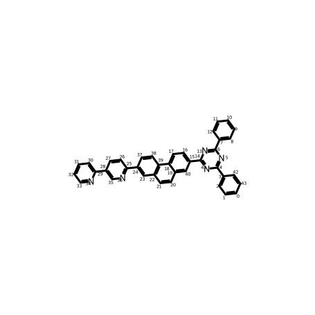 c1ccc(-c2nc(-c3ccccc3)nc(-c3ccc4c(ccc5cc(-c6ccc(-c7ccccn7)cn6)ccc54)c3)n2)cc1